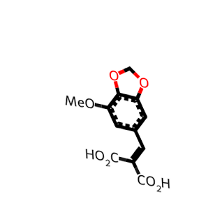 COc1cc(C=C(C(=O)O)C(=O)O)cc2c1OCO2